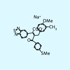 COc1ccc(C/C(C(=O)c2ccc(SC)cc2)=C(\C(=O)[O-])c2ccc3nsnc3c2)cc1C.[Na+]